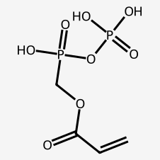 C=CC(=O)OCP(=O)(O)OP(=O)(O)O